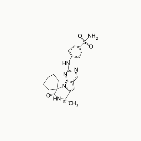 C[C@@H]1NC(=O)C2(CCCCC2)n2c1cc1cnc(Nc3ccc(S(N)(=O)=O)cc3)nc12